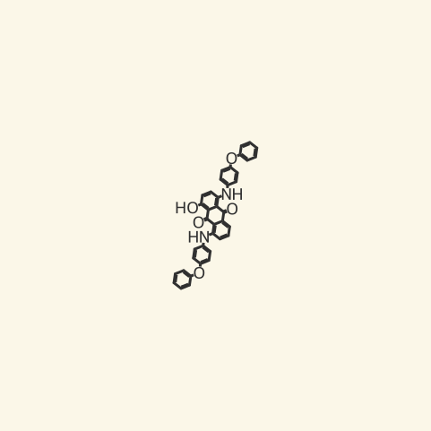 O=C1c2c(Nc3ccc(Oc4ccccc4)cc3)cccc2C(=O)c2c(Nc3ccc(Oc4ccccc4)cc3)ccc(O)c21